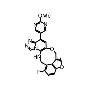 COc1ncc(-c2cc3c(n4cnnc24)NCc2c(F)ccc4c2[C@H](CO4)CO3)cn1